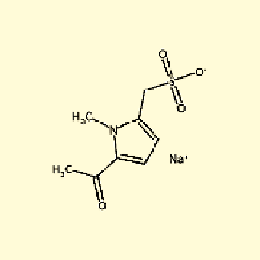 CC(=O)c1ccc(CS(=O)(=O)[O-])n1C.[Na+]